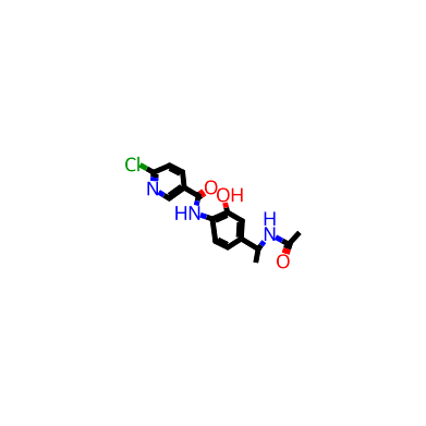 CC(=O)NC(C)c1ccc(NC(=O)c2ccc(Cl)nc2)c(O)c1